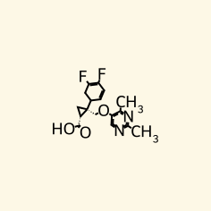 Cc1ncc(OC[C@@]2(C3C=CC(F)=C(F)C3)C[C@H]2C(=O)O)c(C)n1